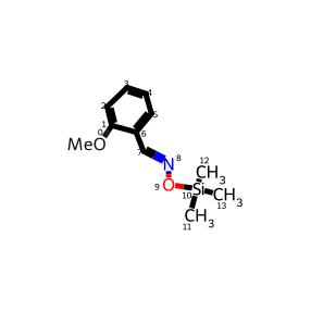 COc1ccccc1C=NO[Si](C)(C)C